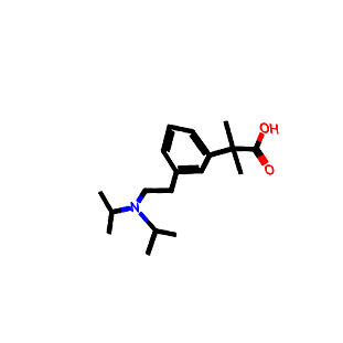 CC(C)N(CCc1cccc(C(C)(C)C(=O)O)c1)C(C)C